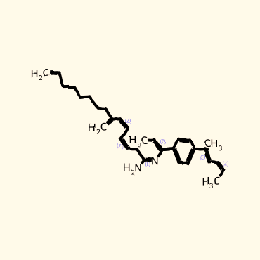 C=CCCCCCCC(=C)/C=C\C=C/C/C(N)=N\C(=C/C)c1ccc(/C(C)=C/C=C\C)cc1